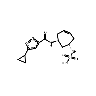 NS(=O)(=O)N[C@H]1CC=CC[C@H](NC(=O)c2cc(C3CC3)on2)C1